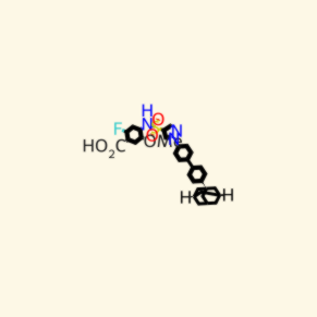 COc1cc(C(=O)O)c(F)cc1NS(=O)(=O)c1cnn(-c2ccc(-c3ccc([C@]45CC6C[C@H](C[C@@H](C6)C4)C5)cc3)cc2)c1